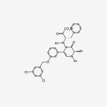 CC(=O)N1C=C(c2cccc(OCc3cc(Cl)cc(Cl)c3)c2)N(N(C(C)=O)[C@@H](Cc2ccccc2)C(=O)C(=O)O)C(=O)[C@H]1C(C)C